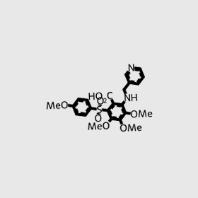 COc1ccc(S(=O)(=O)c2c(OC)c(OC)c(OC)c(NCc3cccnc3)c2C(=O)O)cc1